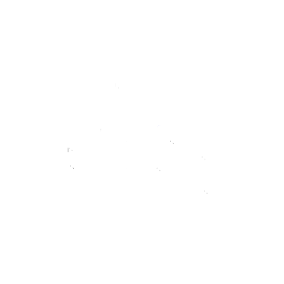 CCC/C=C1/NC(C2CNCCN2)=Nc2cc(-c3cn[nH]c3C)sc21